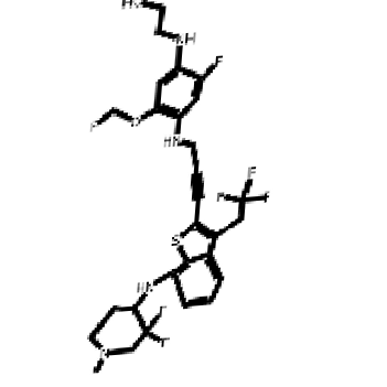 CN1CCC(Nc2cccc3c(CC(F)(F)F)c(C#CCNc4cc(F)c(NCCO)cc4OCF)sc23)C(F)(F)C1